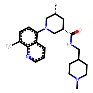 C[C@@H]1C[C@H](C(=O)NCC2CCN(C)CC2)CN(c2ccc(C(F)(F)F)c3ncccc23)C1